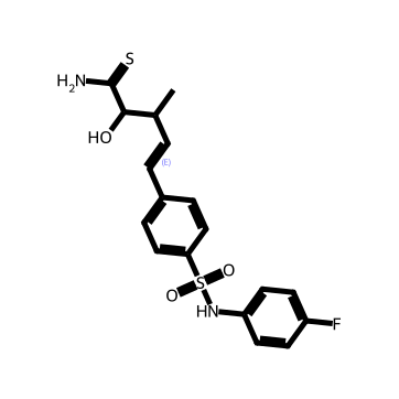 CC(/C=C/c1ccc(S(=O)(=O)Nc2ccc(F)cc2)cc1)C(O)C(N)=S